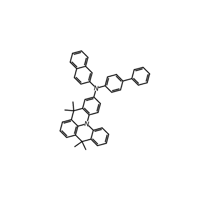 CC1(C)c2ccccc2N2c3ccc(N(c4ccc(-c5ccccc5)cc4)c4ccc5ccccc5c4)cc3C(C)(C)c3cccc1c32